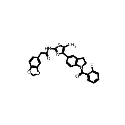 Cc1sc(NC(=O)Cc2ccc3c(c2)OCO3)nc1-c1ccc2c(c1)CCN2C(=O)c1ccccc1F